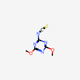 COc1nc(N=C=S)nc(OC)n1